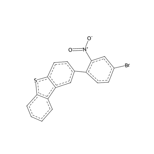 O=[N+]([O-])c1cc(Br)ccc1-c1ccc2sc3ccccc3c2c1